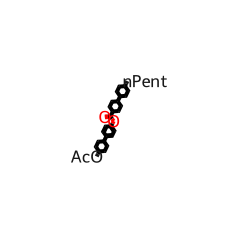 CCCCCC1CCC(C2CCC(C(=O)Oc3ccc(C4CCC(OC(C)=O)CC4)cc3)CC2)CC1